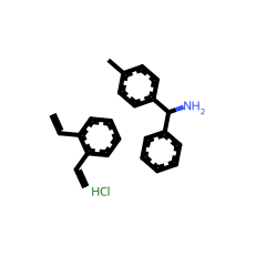 C=Cc1ccccc1C=C.Cc1ccc(C(N)c2ccccc2)cc1.Cl